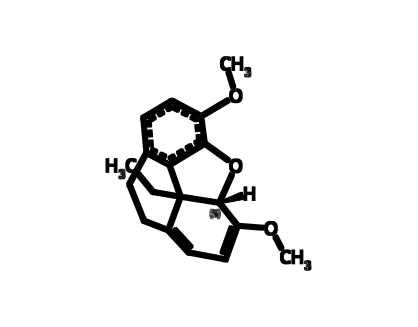 CCC12C3=CC=C(OC)[C@H]1Oc1c(OC)ccc(c12)CC3